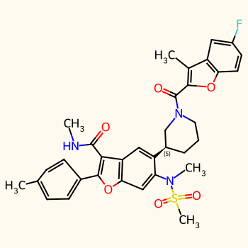 CNC(=O)c1c(-c2ccc(C)cc2)oc2cc(N(C)S(C)(=O)=O)c([C@@H]3CCCN(C(=O)c4oc5ccc(F)cc5c4C)C3)cc12